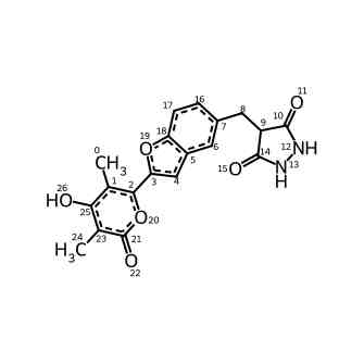 Cc1c(-c2cc3cc(CC4C(=O)NNC4=O)ccc3o2)oc(=O)c(C)c1O